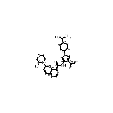 CC[C@H]1COCCN1c1ccc2ncnc(C(=O)Nc3cn(C4CCC(C(C)S)CC4)nc3C(F)F)c2n1